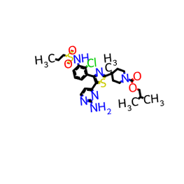 CCCS(=O)(=O)Nc1cccc(-c2nc(C3(C)CCN(C(=O)OCC(C)C)CC3)sc2-c2ccnc(N)n2)c1Cl